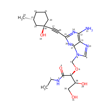 CCNC(=O)[C@@H](OCn1cnc2c(N)nc(C#C[C@@]3(O)CCC[C@@H](C)C3)nc21)C(O)CO